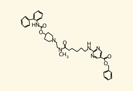 CN(CCN1CCC(OC(=O)Nc2ccccc2-c2ccccc2)CC1)C(=O)CCCCCNc1ncc(C(=O)OCc2ccccc2)cn1